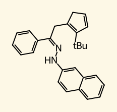 CC(C)(C)C1=C(CC(=NNc2ccc3ccccc3c2)c2ccccc2)CC=C1